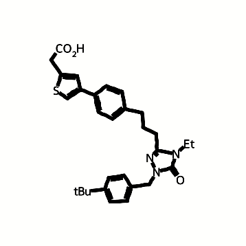 CCn1c(CCCc2ccc(-c3csc(CC(=O)O)c3)cc2)nn(Cc2ccc(C(C)(C)C)cc2)c1=O